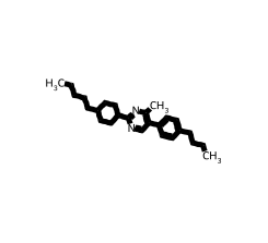 CCCCCC1CCC(c2ncc(-c3ccc(CCCC)cc3)c(C)n2)CC1